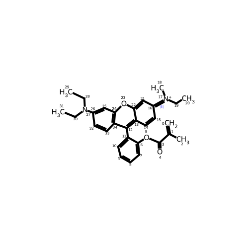 C=C(C)C(=O)Oc1ccccc1-c1c2cc/c(=[N+](/C)CC)cc-2oc2cc(N(CC)CC)ccc12